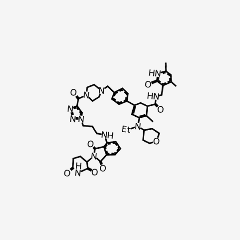 CCN(C1=C(C)C(C(=O)NCc2c(C)cc(C)[nH]c2=O)CC(c2ccc(CN3CCN(C(=O)c4cn(CCCNc5cccc6c5C(=O)N(C5CCC(=O)NC5=O)C6=O)nn4)CC3)cc2)=C1)C1CCOCC1